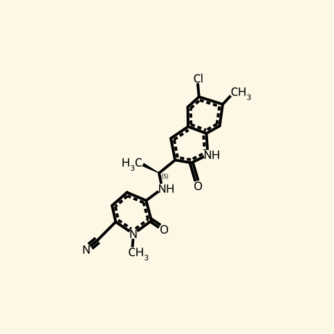 Cc1cc2[nH]c(=O)c([C@H](C)Nc3ccc(C#N)n(C)c3=O)cc2cc1Cl